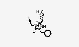 CCOCC(=O)N[C@H](CC1CCCCC1)C(=O)NCC#N